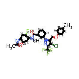 Cc1ccc(OCc2c(Cl)c(C(F)(F)F)nn2-c2cccc(C(=O)N(C)c3cc4oc(C)nc4cc3F)c2)cc1